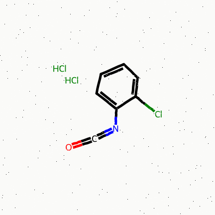 Cl.Cl.O=C=Nc1ccccc1Cl